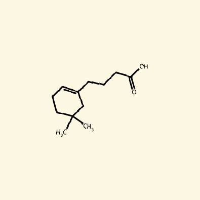 CC1(C)CCC=C(CCCC(=O)O)C1